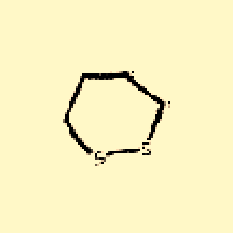 [C]1[C]SSCC1